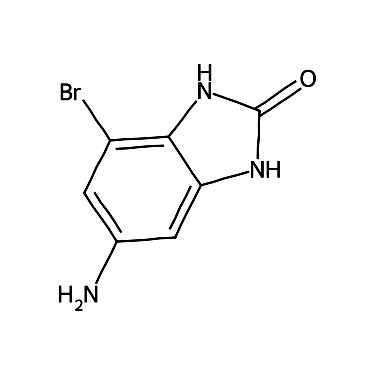 Nc1cc(Br)c2[nH]c(=O)[nH]c2c1